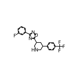 Fc1cccc(-c2noc(C3CNCC(c4ccc(C(F)(F)F)cc4)C3)n2)c1